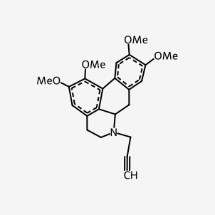 C#CCN1CCc2cc(OC)c(OC)c3c2C1Cc1cc(OC)c(OC)cc1-3